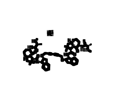 CN[C@@H](C)C(=O)N[C@H]1CCS[C@H]2CC(C)(C)[C@@H](C(=O)N[C@H]3c4ccccc4C[C@H]3OCC#CC#CCO[C@@H]3Cc4ccccc4[C@@H]3NC(=O)[C@H]3N4C(=O)[C@@H](NC(=S)[C@H](C)NC)CCS[C@H]4CC3(C)C)N2C1=O.Cl.Cl